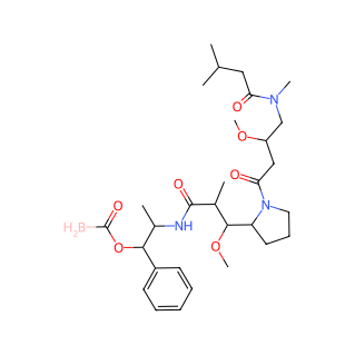 BC(=O)OC(c1ccccc1)C(C)NC(=O)C(C)C(OC)C1CCCN1C(=O)CC(CN(C)C(=O)CC(C)C)OC